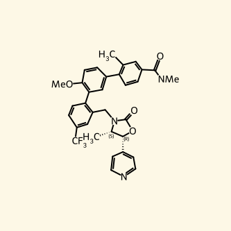 CNC(=O)c1ccc(-c2ccc(OC)c(-c3ccc(C(F)(F)F)cc3CN3C(=O)O[C@H](c4ccncc4)[C@@H]3C)c2)c(C)c1